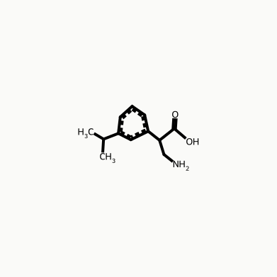 CC(C)c1cccc(C(CN)C(=O)O)c1